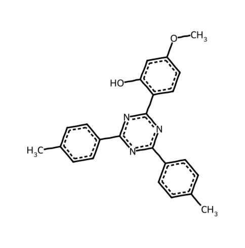 COc1ccc(-c2nc(-c3ccc(C)cc3)nc(-c3ccc(C)cc3)n2)c(O)c1